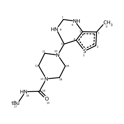 Cc1csc2c1NCNC2N1CCN(C(=O)NC(C)(C)C)CC1